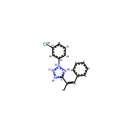 CC(=Cc1ccccc1)c1nnn(-c2cccc(Cl)c2)n1